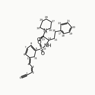 C#C/C=C\C=C1\C=CC=C(S(=O)(=O)NC(CCc2ccccc2)C(=O)N2CCCCC2)C1